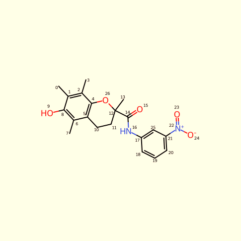 Cc1c(C)c2c(c(C)c1O)CCC(C)(C(=O)Nc1cccc([N+](=O)[O-])c1)O2